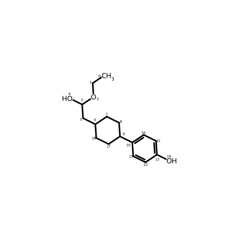 CCOC(O)CC1CCC(c2ccc(O)cc2)CC1